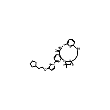 CC1(C)C[C@@H]2CCCNc3cccc(n3)SNC(=O)c3ccc(-n4ccc(OCCC5CCCC5)n4)nc3N1C2